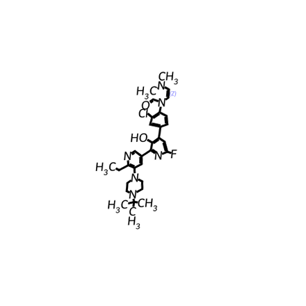 CCc1ncc(-c2nc(F)cc(-c3ccc(N(C=O)/C=C\N(C)C)c(Cl)c3)c2O)cc1N1CCN(C(C)(C)C)CC1